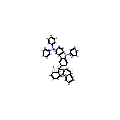 CC1(c2ccc3c(c2)c2cc(N(c4ccccc4)c4ccccc4)ccc2n3-c2ccccc2)c2ccccc2-c2c1ccc1ccccc21